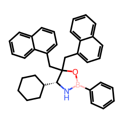 c1ccc(B2N[C@H](C3CCCCC3)C(Cc3cccc4ccccc34)(Cc3cccc4ccccc34)O2)cc1